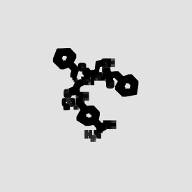 CC(=O)O.N=C(N)c1ccc(CNC(=O)[C@H](CCc2ccccc2)NC(=O)[C@@H](CO)NS(=O)(=O)Cc2ccccc2)cc1